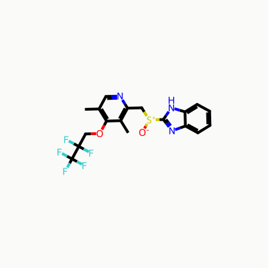 Cc1cnc(C[S+]([O-])c2nc3ccccc3[nH]2)c(C)c1OCC(F)(F)C(F)(F)F